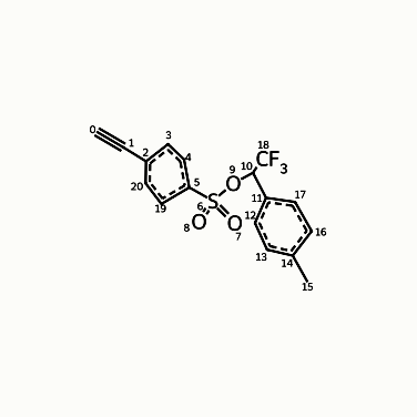 C#Cc1ccc(S(=O)(=O)OC(c2ccc(C)cc2)C(F)(F)F)cc1